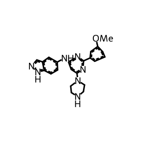 COc1cccc(-c2nc(Nc3ccc4[nH]ncc4c3)cc(N3CCNCC3)n2)c1